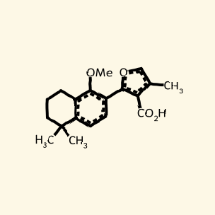 COc1c(-c2occ(C)c2C(=O)O)ccc2c1CCCC2(C)C